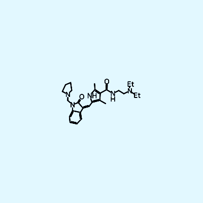 CCN(CC)CCNC(=O)c1c(C)[nH]c(/C=C2\C(=O)N(CN3CCCC3)c3ccccc32)c1C